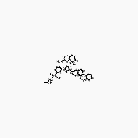 C=CCNC(=O)N(O)c1cccc(-c2ccc(C3=Cc4ccc5c(c4CC3)CCc3ccccc3-5)s2)c1.NC(=O)CC1C=CC=CS1(=O)=O